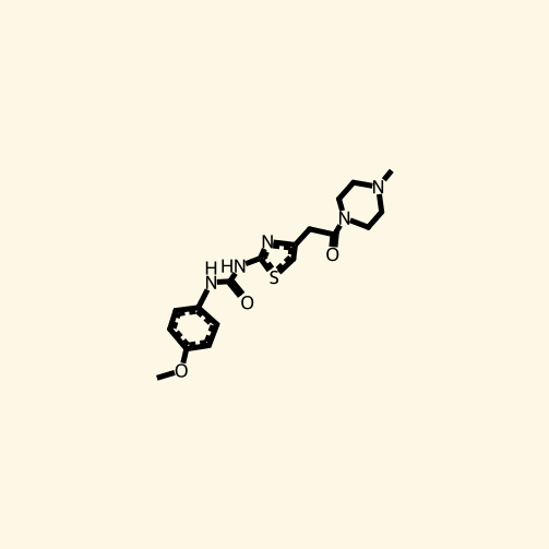 COc1ccc(NC(=O)Nc2nc(CC(=O)N3CCN(C)CC3)cs2)cc1